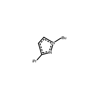 CCC(C)n1ccc(C(C)C)n1